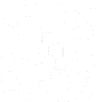 I.NC(=O)c1ccc2cc[nH]c2c1